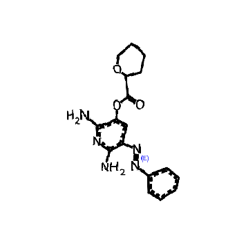 Nc1nc(N)c(OC(=O)C2CCCCO2)cc1/N=N/c1ccccc1